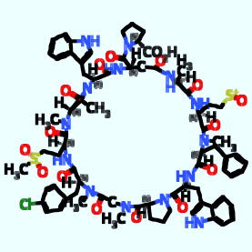 CC1[C@@H]2C(=O)N1[C@@H](Cc1c[nH]c3ccccc13)C(=O)N[C@H](C(=O)N1CCC[C@H]1C(=O)O)CC(=O)N[C@@H](C)C(=O)N[C@@H](CC[S+]=O)C(=O)N(C)[C@@H](Cc1ccccc1)C(=O)N[C@@H](Cc1c[nH]c3ccccc13)C(=O)N1CCC[C@H]1C(=O)N(C)CC(=O)N(C)[C@@H](Cc1ccc(Cl)cc1)C(=O)N[C@@H](CCS(C)(=O)=O)C(=O)N2C